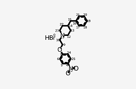 Br.O=[N+]([O-])c1ccc(OCCN2CCC(Cc3ccccc3)CC2)cc1